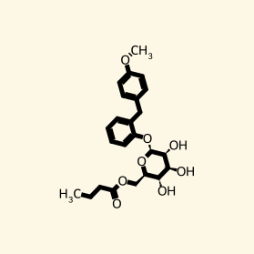 CCCC(=O)OC[C@H]1O[C@H](Oc2ccccc2Cc2ccc(OC)cc2)[C@H](O)[C@@H](O)[C@@H]1O